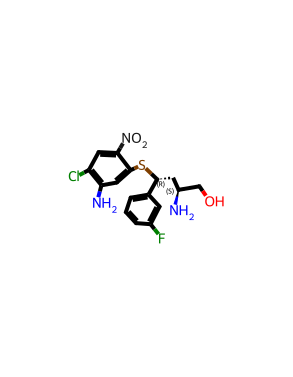 Nc1cc(S[C@H](C[C@H](N)CO)c2cccc(F)c2)c([N+](=O)[O-])cc1Cl